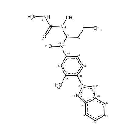 CCCC(N(C)C(=O)NN)[S+]([O-])c1ccc(-n2nc3ccccc3n2)c(O)c1